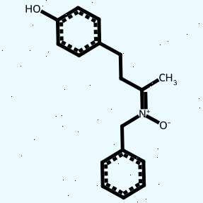 C/C(CCc1ccc(O)cc1)=[N+](\[O-])Cc1ccccc1